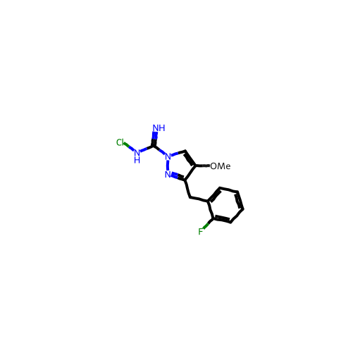 COc1cn(C(=N)NCl)nc1Cc1ccccc1F